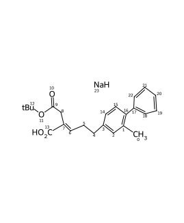 Cc1cc(CCC=C(CC(=O)OC(C)(C)C)C(=O)O)ccc1-c1ccccc1.[NaH]